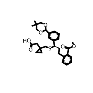 COC(=O)c1ccccc1CC[C@@H](SCC1(CC(=O)O)CC1)c1cccc(C2OCC(C)(C)CO2)c1